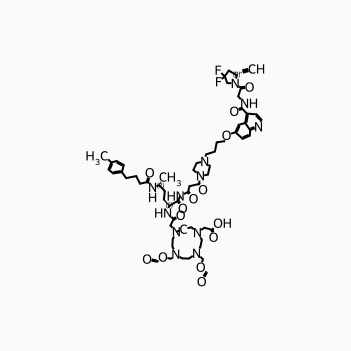 C#C[C@H]1CC(F)(F)CN1C(=O)CNC(=O)c1ccnc2ccc(OCCCCN3CCN(C(=O)CC(=O)NC(=O)[C@H](CC[C@@H](C)NC(=O)CCCc4ccc(C)cc4)NC(=O)CN4CCN(COC=O)CCN(COC=O)CCN(CC(=O)O)CC4)CC3)cc12